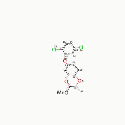 COC(=O)C(C)Oc1ccc(Oc2cc(Cl)ccc2Cl)cc1